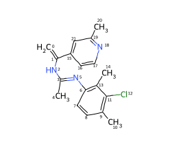 C=C(N/C(C)=N/c1ccc(C)c(Cl)c1C)c1ccnc(C)c1